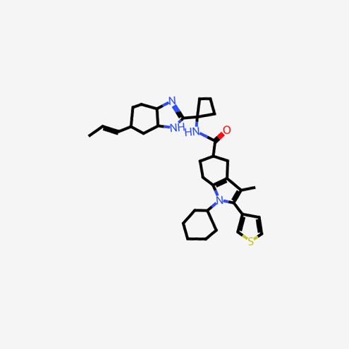 C/C=C/C1CCC2N=C(C3(NC(=O)C4CCc5c(c(C)c(-c6ccsc6)n5C5CCCCC5)C4)CCC3)NC2C1